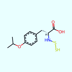 CC(C)Oc1ccc(C[C@@H](NSS)C(=O)O)cc1